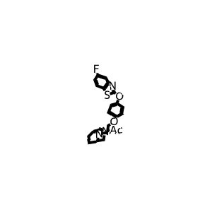 CC(=O)N1CC2CCC(C1)N2CCOc1ccc(Oc2nc3cc(F)ccc3s2)cc1